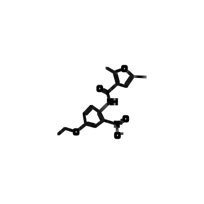 CCOc1ccc(NC(=O)c2cc(C)oc2C)c([N+](=O)[O-])c1